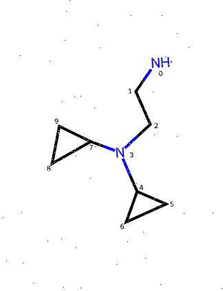 [NH]CCN(C1CC1)C1CC1